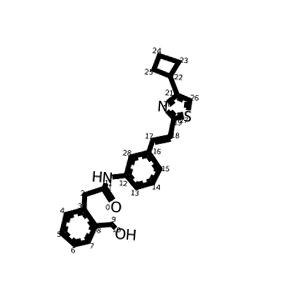 O=C(Cc1ccccc1CO)Nc1cccc(C=Cc2nc(C3CCC3)cs2)c1